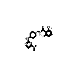 CN(C)c1ccnc(N[C@H]2CC[C@@H](CNC(=O)c3c(F)cccc3C(F)(F)F)CC2)n1